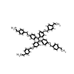 C=Cc1ccc(COc2ccc(C(c3ccc(OCc4ccc(C=C)cc4)cc3)C(c3ccc(OCc4ccc(C=C)cc4)cc3)c3ccc(OCc4ccc(C=C)cc4)cc3)cc2)cc1